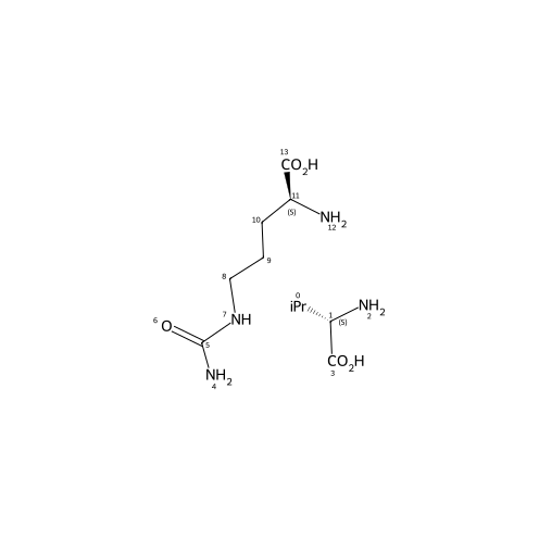 CC(C)[C@H](N)C(=O)O.NC(=O)NCCC[C@H](N)C(=O)O